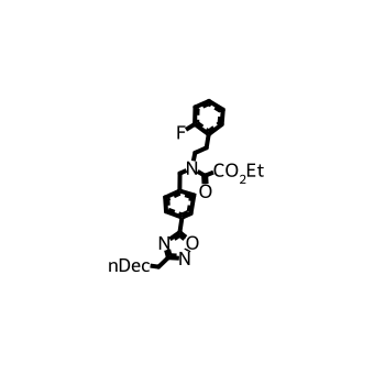 CCCCCCCCCCCc1noc(-c2ccc(CN(CCc3ccccc3F)C(=O)C(=O)OCC)cc2)n1